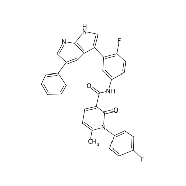 Cc1ccc(C(=O)Nc2ccc(F)c(-c3c[nH]c4ncc(-c5ccccc5)cc34)c2)c(=O)n1-c1ccc(F)cc1